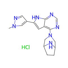 Cl.Cn1cc(-c2cc3c(N4CC5CCC(C4)N5)ncnc3[nH]2)cn1